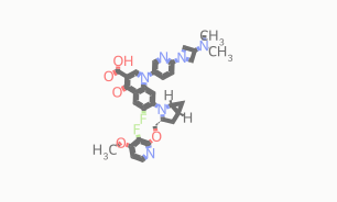 COc1ccnc(OC[C@H]2C[C@H]3C[C@H]3N2c2cc3c(cc2F)c(=O)c(C(=O)O)cn3-c2ccc(N3CC(N(C)C)C3)nc2)c1F